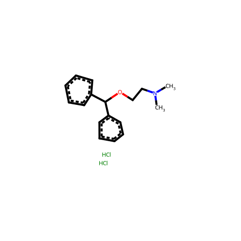 CN(C)CCOC(c1ccccc1)c1ccccc1.Cl.Cl